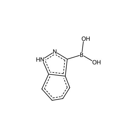 OB(O)c1n[nH]c2ccccc12